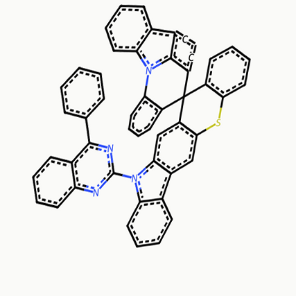 c1ccc(-c2nc(-n3c4ccccc4c4cc5c(cc43)C3(c4ccccc4S5)c4ccccc4-n4c5ccccc5c5cccc3c54)nc3ccccc23)cc1